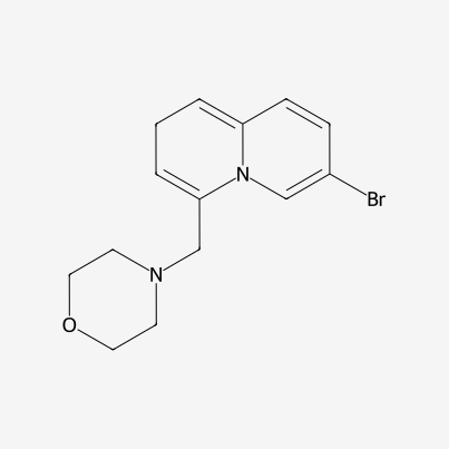 BrC1=CN2C(=CCC=C2CN2CCOCC2)C=C1